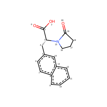 O=C(O)[C@@H](Cc1ccc2ccccc2c1)N1CCCC1=O